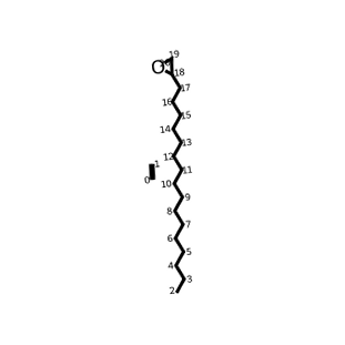 C=C.CCCCCCCCCCCCCCCCC1CO1